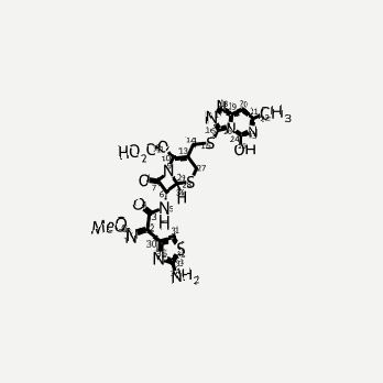 CO/N=C(\C(=O)N[C@@H]1C(=O)N2C(OC(=O)O)=C(CSc3nnc4cc(C)nc(O)n34)CS[C@H]12)c1csc(N)n1